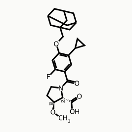 CO[C@H]1CCN(C(=O)c2cc(C3CC3)c(OCC34CC5CC(CC(C5)C3)C4)cc2F)[C@@H]1C(=O)O